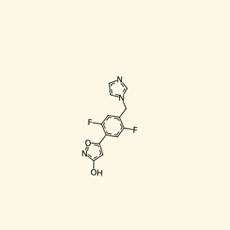 Oc1cc(-c2cc(F)c(Cn3ccnc3)cc2F)on1